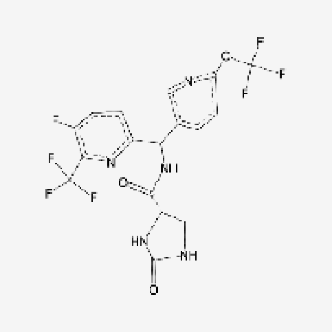 O=C1NC[C@@H](C(=O)NC(c2ccc(OC(F)(F)F)nc2)c2ccc(F)c(C(F)(F)F)n2)N1